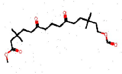 COC(=O)CC(C)(C)CCC(=O)CCCC(=O)CCC(C)(C)CCOC=O